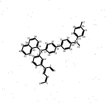 C=C/C(=C\C=C/C)c1cccc(N(c2ccc(-c3ccc(N(C)c4ccc(C)cc4)cc3)cc2)c2cccc3ccccc23)c1